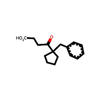 O=C(O)CCC(=O)C1(Cc2ccccc2)CCCC1